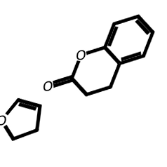 C1=COCC1.O=C1CCc2ccccc2O1